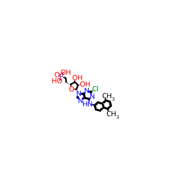 Cc1ccc(C)c2cc(Nc3nc(Cl)nc4c3ncn4[C@@H]3O[C@H](CCP(=O)(O)O)C(O)[C@@H]3O)ccc12